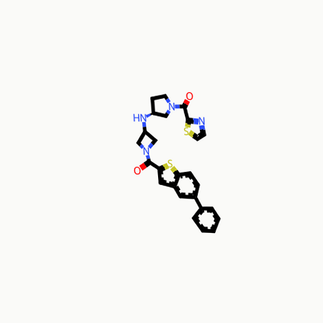 O=C(c1cc2cc(-c3ccccc3)ccc2s1)N1CC(N[C@H]2CCN(C(=O)c3nccs3)C2)C1